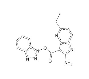 Nc1nn2ccc(CF)nc2c1C(=O)On1nnc2ccccc21